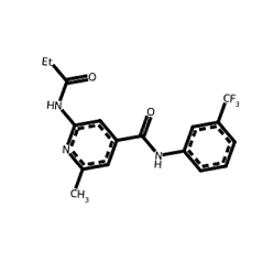 CCC(=O)Nc1cc(C(=O)Nc2cccc(C(F)(F)F)c2)cc(C)n1